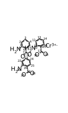 Nc1ccccc1C(=O)[O-].Nc1ccccc1C(=O)[O-].Nc1ccccc1C(=O)[O-].[Cr+3]